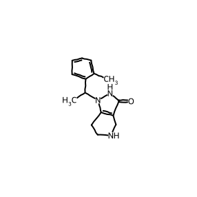 Cc1ccccc1C(C)n1[nH]c(=O)c2c1CCNC2